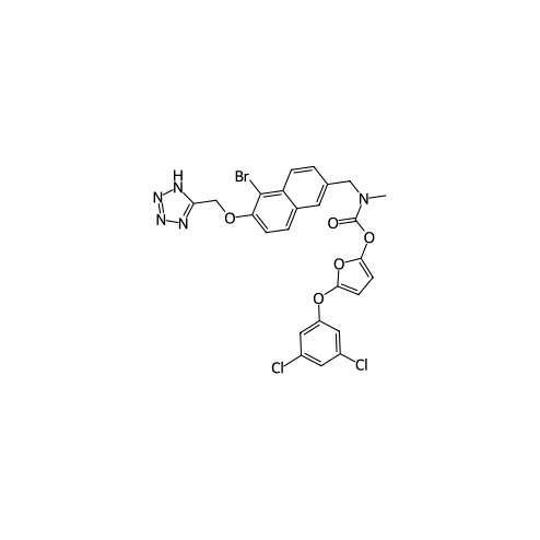 CN(Cc1ccc2c(Br)c(OCc3nnn[nH]3)ccc2c1)C(=O)Oc1ccc(Oc2cc(Cl)cc(Cl)c2)o1